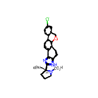 CC(C)(C)[C@]1(c2nc3c([nH]2)CCc2c-3ccc3c2OCc2cc(Cl)ccc2-3)CCCN1C(=O)O